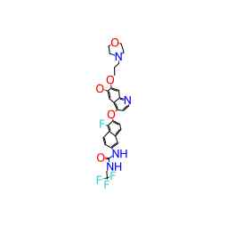 COc1cc2c(Oc3ccc4cc(NC(=O)NCC(F)(F)F)ccc4c3F)ccnc2cc1OCCCN1CCOCC1